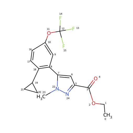 CCOC(=O)c1cc(-c2cc(OC(F)(F)F)ccc2C2CC2)n(C)n1